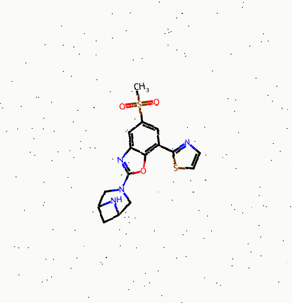 CS(=O)(=O)c1cc(-c2nccs2)c2oc(N3CC4CC(C3)N4)nc2c1